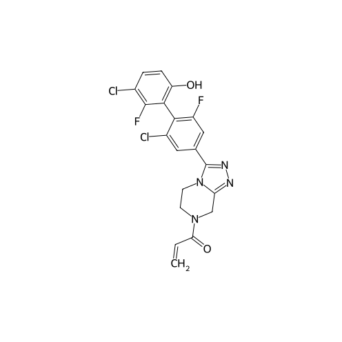 C=CC(=O)N1CCn2c(nnc2-c2cc(F)c(-c3c(O)ccc(Cl)c3F)c(Cl)c2)C1